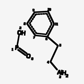 O=PO.[AlH2][CH2]Cc1ccccc1